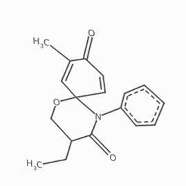 CCC1COC2(C=CC(=O)C(C)=C2)N(c2ccccc2)C1=O